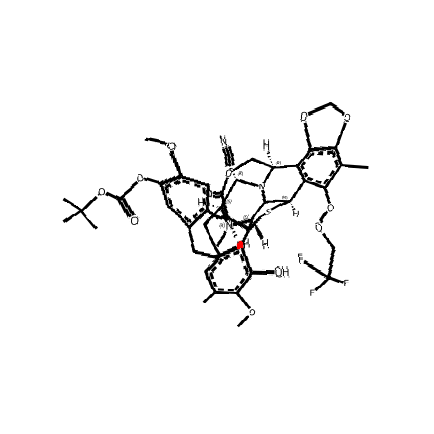 COc1cc2c(cc1OC(=O)OC(C)(C)C)CCN[C@]21CS[C@@H]2c3c(OOCC(F)(F)F)c(C)c4c(c3[C@H](COC1=O)N1C2[C@@H]2c3c(cc(C)c(OC)c3O)C[C@@H]([C@@H]1C#N)N2C)OCO4